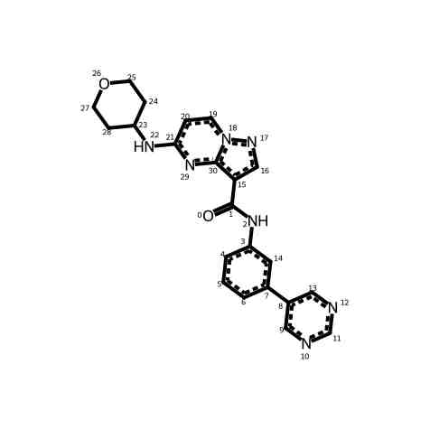 O=C(Nc1cccc(-c2cncnc2)c1)c1cnn2ccc(NC3CCOCC3)nc12